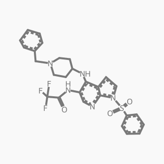 O=C(Nc1cnc2c(ccn2S(=O)(=O)c2ccccc2)c1NC1CCN(Cc2ccccc2)CC1)C(F)(F)F